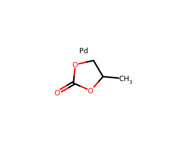 CC1COC(=O)O1.[Pd]